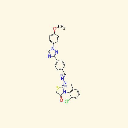 Cc1cccc(Cl)c1N1C(=O)CS/C1=N\N=C\c1ccc(-c2ncn(-c3ccc(OC(F)(F)F)cc3)n2)cc1